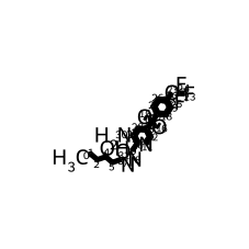 CCC[C@@H](O)Cc1nnc(-c2ncc(S(=O)(=O)c3ccc(OC(F)(F)F)cc3)cc2N)o1